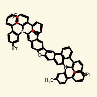 Cc1ccc(-c2ccccc2)c(N(c2ccc3cc4c(cc3c2)oc2cc3cc(N(c5cc(C)ccc5-c5ccccc5)c5cc(C(C)C)ccc5-c5ccccc5)ccc3cc24)c2cc(C(C)C)ccc2-c2ccccc2)c1